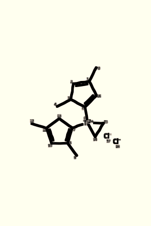 CC1=CC(C)[C]([Ti+2]2([C]3=C(C)C=C(C)C3)[CH2][CH2]2)=C1.[Cl-].[Cl-]